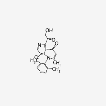 Cc1cccc(C)c1-n1c(C)cc(=O)c2c(C(=O)CO)ncc(Cl)c21